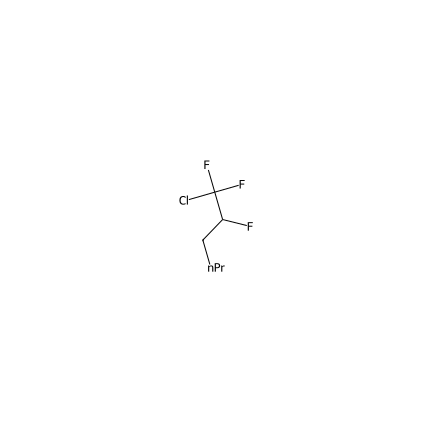 CCCCC(F)C(F)(F)Cl